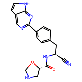 N#C[C@H](Cc1ccc(-c2ncc3cc[nH]c3n2)cc1)NC(=O)[C@@H]1CNCO1